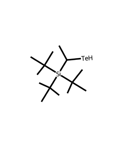 CC([TeH])[Si](C(C)(C)C)(C(C)(C)C)C(C)(C)C